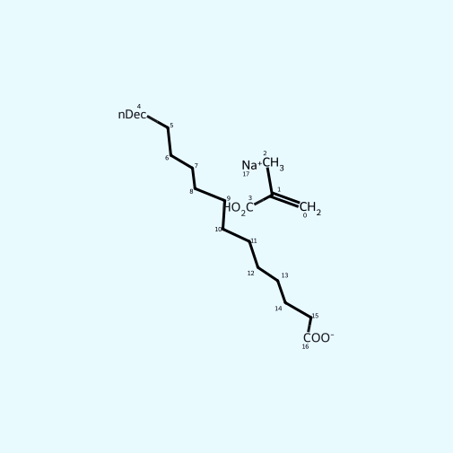 C=C(C)C(=O)O.CCCCCCCCCCCCCCCCCCCCCC(=O)[O-].[Na+]